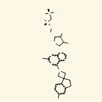 O=P(O)(O)CP(=O)(O)OC[C@H]1O[C@@H](n2cnc3c(N4CC5(CCc6cc(F)ccc65)C4)nc(Cl)nc32)C(O)C1O